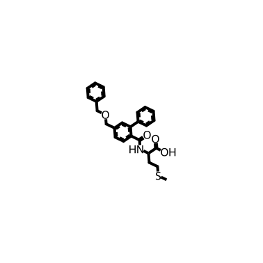 CSCCC(NC(=O)c1ccc(COCc2ccccc2)cc1-c1ccccc1)C(=O)O